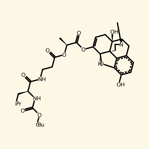 CC(C)C[C@H](NC(=O)OC(C)(C)C)C(=O)NCCC(=O)O[C@@H](C)C(=O)OC1=CC[C@]2(O)C3Cc4ccc(O)c5c4[C@@]2(CCN3C)[C@H]1O5